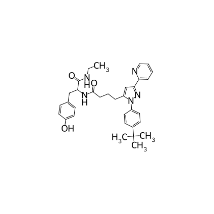 CCNC(=O)C(Cc1ccc(O)cc1)NC(=O)CCCc1cc(-c2ccccn2)nn1-c1ccc(C(C)(C)C)cc1